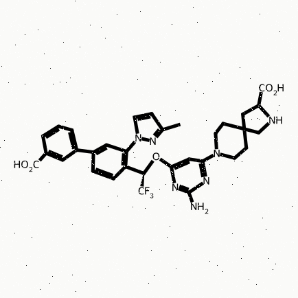 Cc1ccn(-c2cc(-c3cccc(C(=O)O)c3)ccc2[C@@H](Oc2cc(N3CCC4(CC3)CNC(C(=O)O)C4)nc(N)n2)C(F)(F)F)n1